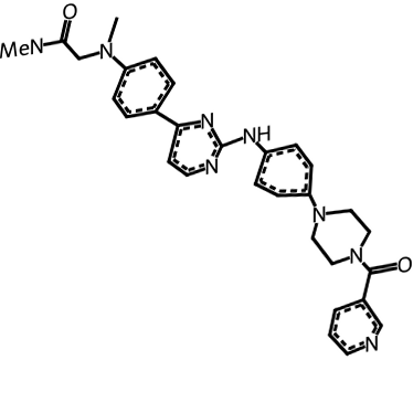 CNC(=O)CN(C)c1ccc(-c2ccnc(Nc3ccc(N4CCN(C(=O)c5cccnc5)CC4)cc3)n2)cc1